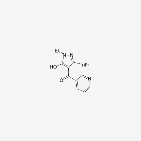 CCCc1nn(CC)c(O)c1C(=O)c1cccnc1